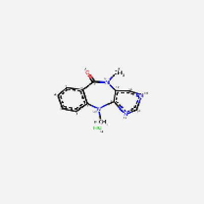 CN1C(=O)c2ccccc2N(C)c2ncncc21.Cl